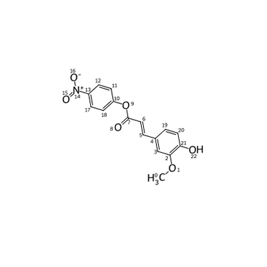 COc1cc(/C=C/C(=O)Oc2ccc([N+](=O)[O-])cc2)ccc1O